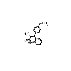 CCc1ccc(-c2c(C)c(=O)[nH]c3ccccc23)cc1